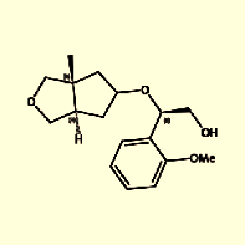 COc1ccccc1[C@H](CO)OC1C[C@H]2COC[C@]2(C)C1